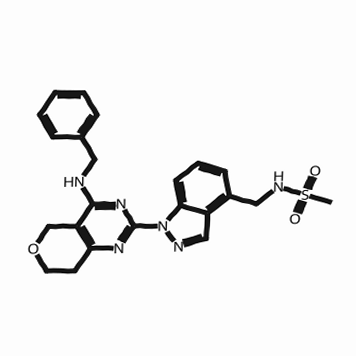 CS(=O)(=O)NCc1cccc2c1cnn2-c1nc2c(c(NCc3ccccc3)n1)COCC2